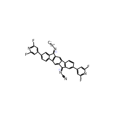 [C-]#[N+]/N=c1\c2cc(-c3cc(F)nc(F)c3)ccc2c2cc3/c(=N/C#N)c4cc(-c5cc(F)nc(F)c5)ccc4c3cc12